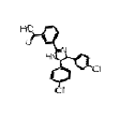 O=C(O)c1cccc(C2=NC(c3ccc(Cl)cc3)C(c3ccc(Cl)cc3)N2)c1